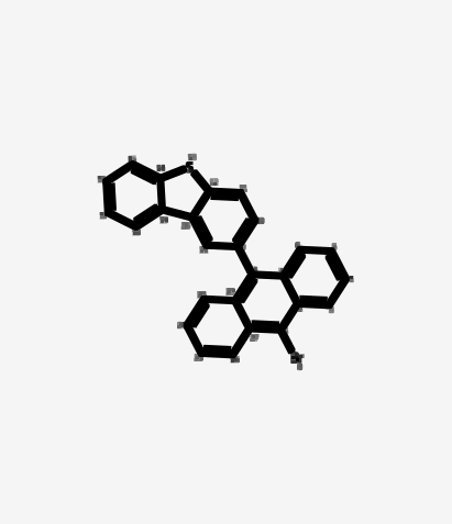 Brc1c2ccccc2c(-c2ccc3sc4ccccc4c3c2)c2ccccc12